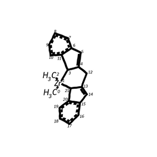 [CH3][Zr]1([CH3])[CH]2C(=Cc3ccccc32)CC2=Cc3ccccc3[CH]21